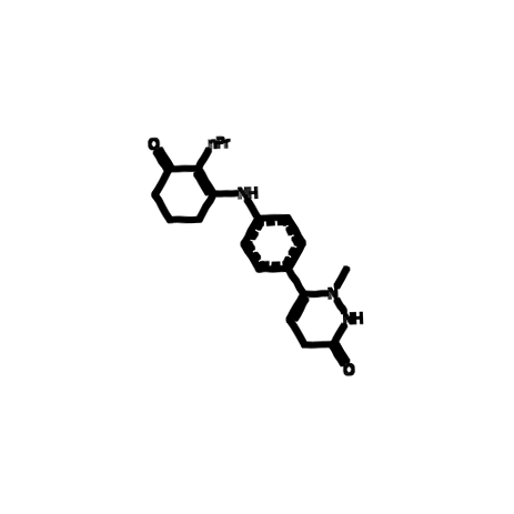 CCCC1=C(Nc2ccc(C3=CCC(=O)NN3C)cc2)CCCC1=O